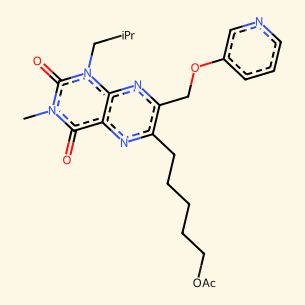 CC(=O)OCCCCCc1nc2c(=O)n(C)c(=O)n(CC(C)C)c2nc1COc1cccnc1